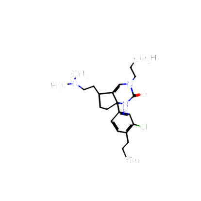 CN(C)CCC1CCC2(c3ccc(CCC(C)(C)C)c(Cl)c3)NC(=O)N(CCC(=O)O)C=C12